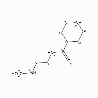 O=C(O)NCCNC(=O)C1CCNCC1